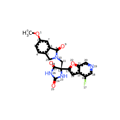 COc1ccc2c(c1)C(=O)N(C[C@@]1(c3cc4c(F)cncc4o3)NC(=O)NC1=O)C2